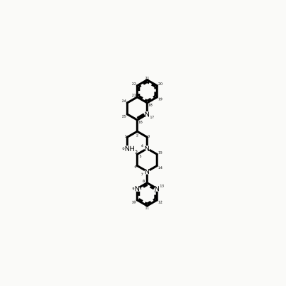 NCC(CN1CCN(c2ncccn2)CC1)C1=Nc2ccccc2CC1